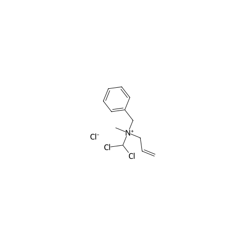 C=CC[N+](C)(Cc1ccccc1)C(Cl)Cl.[Cl-]